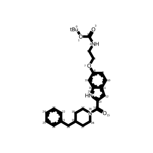 CC(C)(C)OC(=O)NCCOc1ccc2cc(C(=O)N3CCC(Cc4ccccc4)CC3)[nH]c2c1